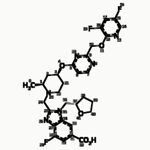 C[C@H]1C[C@@H](Oc2ccnc(COc3ncc(F)cc3F)n2)CCN1Cc1nc2c(F)cc(C(=O)O)cc2n1C[C@@H]1CCCO1